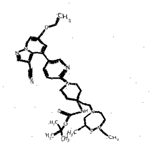 CCOc1cc(-c2ccc(N3CCC(CN4CCN(C)SC(C)C4)(NC(=O)OC(C)(C)C)CC3)nc2)c2c(C#N)cnn2c1